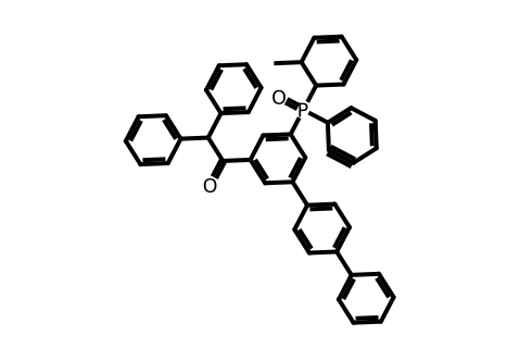 CC1C=CC=CC1P(=O)(c1c#cccc1)c1cc(C(=O)C(c2ccccc2)c2ccccc2)cc(-c2ccc(-c3ccccc3)cc2)c1